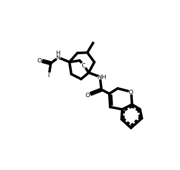 CC1CC2(NC(=O)I)CCC(NC(=O)C3=Cc4ccccc4OC3)(CC2)C1